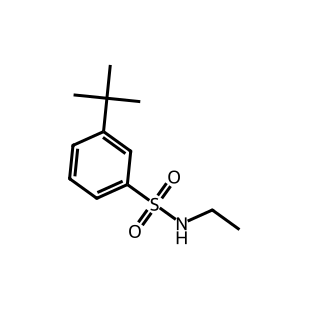 CCNS(=O)(=O)c1cccc(C(C)(C)C)c1